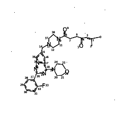 CC(C)=CC(=O)CCC(=O)N1CCN(Cc2cc3c(N4CCOCC4)nc(-c4ccccc4F)nn3c2)CC1